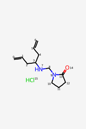 C=CCC(CC=C)NCN1CCCC1=O.Cl